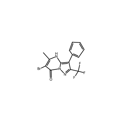 Cc1[nH]c2c(-c3ccccc3)c(C(F)(F)F)nn2c(=O)c1Br